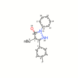 CCCCc1c(-c2ccc(C)cc2)[nH]n(-c2ccccc2)c1=O